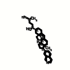 CCCN(C)CCN(O)[C@H]1CCC2=CC3=CC[C@]4(C)[C@@H](c5ccc6ccncc6c5)CC[C@H]4[C@@]34CC[C@]2(C1)O4